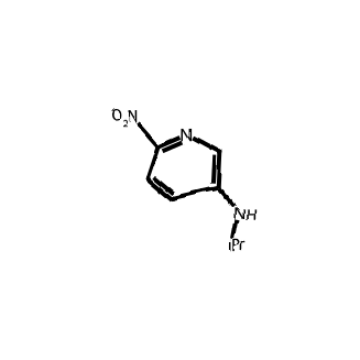 CC(C)Nc1ccc([N+](=O)[O-])nc1